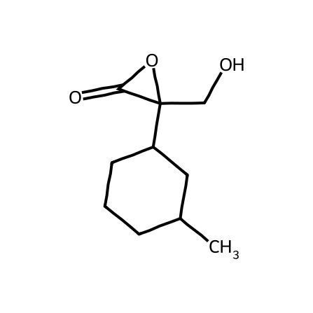 CC1CCCC(C2(CO)OC2=O)C1